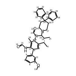 CCC1=CC(c2cccc(OC)c2)C(NC=O)=C(C)N1N(C=O)C(CC)N1CCC(c2ccccc2)(c2ccccc2)CC1